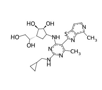 Cc1nc(NCC2CC2)nc(NC2C[C@H](C(O)CO)[C@@H](O)[C@H]2O)c1-c1nc2c(C)nccc2s1